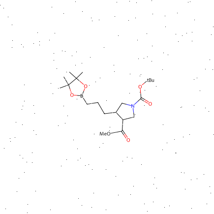 COC(=O)C1CN(C(=O)OC(C)(C)C)CC1CCCB1OC(C)(C)C(C)(C)O1